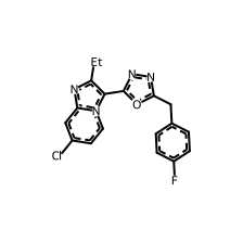 CCc1nc2cc(Cl)ccn2c1-c1nnc(Cc2ccc(F)cc2)o1